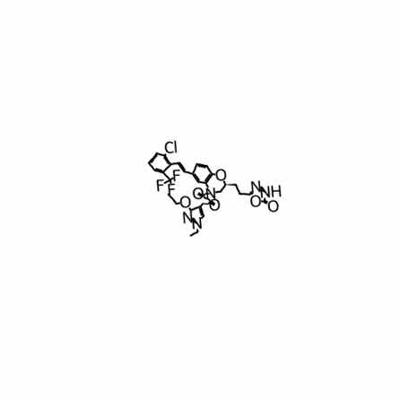 CCOc1nn(CC)cc1S(=O)(=O)N1C[C@H](CCc2n[nH]c(=O)o2)Oc2ccc(/C=C/c3c(Cl)cccc3C(F)(F)F)cc21